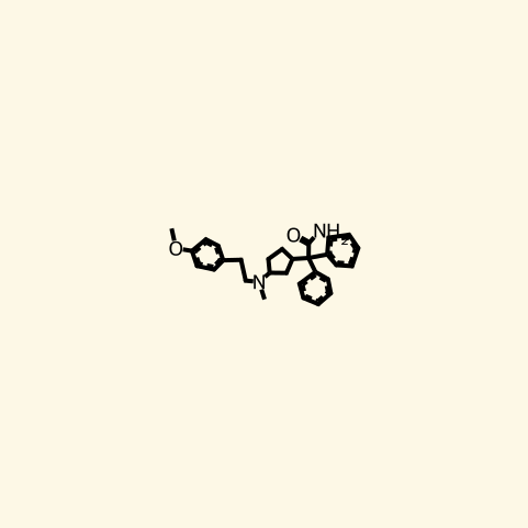 COc1ccc(CCN(C)C2CCC(C(C(N)=O)(c3ccccc3)c3ccccc3)C2)cc1